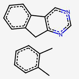 Cc1ccccc1C.c1ccc2c(c1)Cc1ncncc1-2